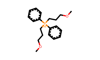 COCCC[PH](CCCOC)(c1ccccc1)c1ccccc1